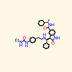 CCNC(=O)Nc1ccc(CCNC(=C2C(=O)Nc3ccc(C(=O)N[C@H](C)c4ccccc4)cc32)c2ccccc2)cc1